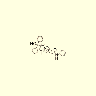 O=C(C[N+]12CCC(CC1)[C@@H](OC(=O)C(O)(c1ccccc1)c1ccccc1)C2)Nc1ccccc1